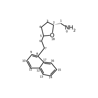 NC[C@H]1CCC(CCc2cccc3ccccc23)O1